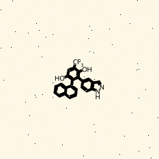 Oc1cc(C(F)(F)F)c(O)c(-c2ccc3[nH]ncc3c2)c1-c1cccc2ccccc12